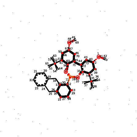 COc1cc(C(C)(C)C)c2op(-c3cccc4c3C3c5ccccc5C4c4cccc(-p5oc6c(C(C)(C)C)cc(OC)cc6c6cc(OC)cc(C(C)(C)C)c6o5)c43)oc3c(C(C)(C)C)cc(OC)cc3c2c1